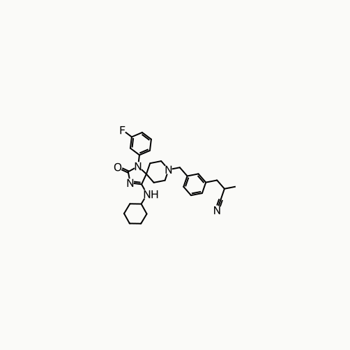 CC(C#N)Cc1cccc(CN2CCC3(CC2)C(NC2CCCCC2)=NC(=O)N3c2cccc(F)c2)c1